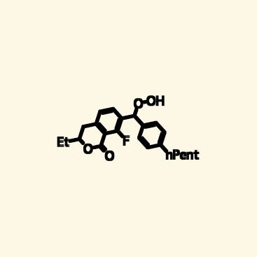 CCCCCc1ccc(C(OO)c2ccc3c(c2F)C(=O)OC(CC)C3)cc1